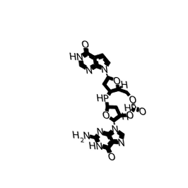 Nc1nc2c(ncn2[C@@H]2OC3C[C@H]2O[PH](=O)OC[C@H]2O[C@@H](n4ccc5c(=O)[nH]cnc54)CC2P3)c(=O)[nH]1